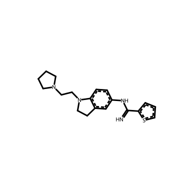 N=C(Nc1ccc2c(c1)CCN2CCN1CCCC1)c1cccs1